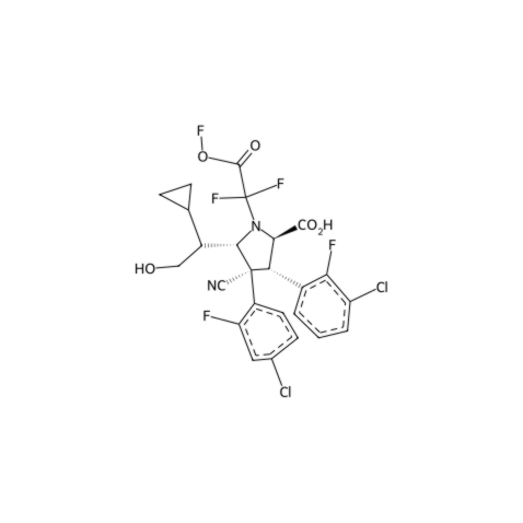 N#C[C@]1(c2ccc(Cl)cc2F)[C@H](C(CO)C2CC2)N(C(F)(F)C(=O)OF)[C@@H](C(=O)O)[C@@H]1c1cccc(Cl)c1F